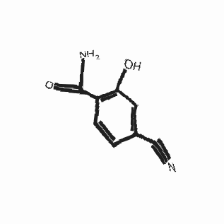 N#Cc1ccc(C(N)=O)c(O)c1